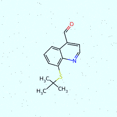 CC(C)(C)Sc1cccc2c(C=O)ccnc12